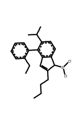 CCCCC1=Cc2c(ccc(C(C)C)c2-c2ccccc2CC)[CH]1[Zr]([Cl])[Cl]